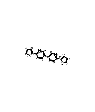 c1csc(-c2ccc(-c3ccc(-c4cccs4)nc3)cn2)c1